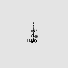 CCCCCCCCCCCC(=O)NCCCCCC(=O)NCCCC[C@H](N)C(=O)O